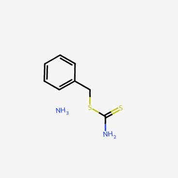 N.NC(=S)SCc1ccccc1